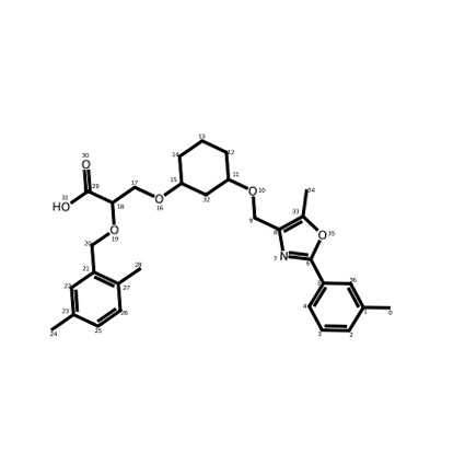 Cc1cccc(-c2nc(COC3CCCC(OCC(OCc4cc(C)ccc4C)C(=O)O)C3)c(C)o2)c1